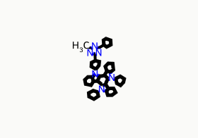 Cc1nc(-c2ccccc2)nc(-c2ccc(-n3c4ccccc4c4c5c(c6ccccc6n5-c5ccccc5)c5c(c6ccccc6n5-c5ccccc5)c43)cc2)n1